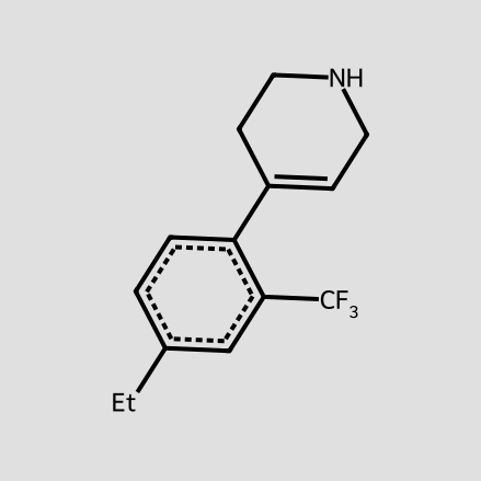 CCc1ccc(C2=CCNCC2)c(C(F)(F)F)c1